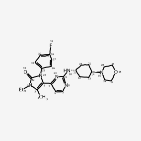 CCn1c(C)c(-c2ccnc(N[C@H]3CC[C@H](N4CCOCC4)CC3)n2)n(-c2ccc(F)cc2)c1=O